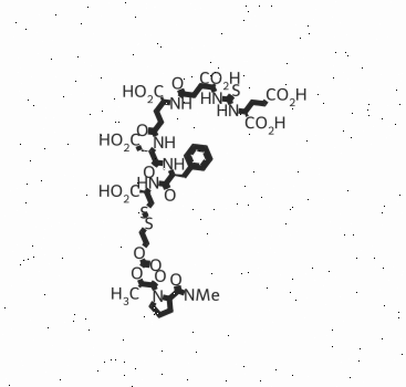 CNC(=O)C1CCCN1C(=O)[C@@H](C)OC(=O)OCCSSC[C@H](NC(=O)[C@H](Cc1ccccc1)NC(=O)[C@H](CC(=O)O)NC(=O)CC[C@H](NC(=O)CC[C@H](NC(=S)N[C@@H](CCC(=O)O)C(=O)O)C(=O)O)C(=O)O)C(=O)O